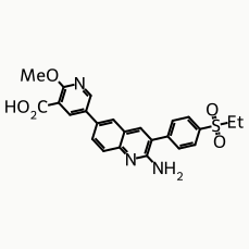 CCS(=O)(=O)c1ccc(-c2cc3cc(-c4cnc(OC)c(C(=O)O)c4)ccc3nc2N)cc1